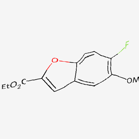 CCOC(=O)c1cc2cc(OC)c(F)cc2o1